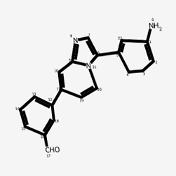 NC1=CCCC(c2cnc3cc(-c4cccc(C=O)c4)ccn23)=C1